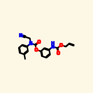 C=CCOC(=O)Nc1cccc(OC(=O)N(CC#N)c2cccc(C)c2)c1